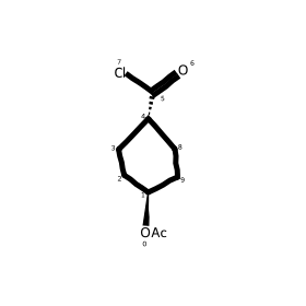 CC(=O)O[C@H]1CC[C@H](C(=O)Cl)CC1